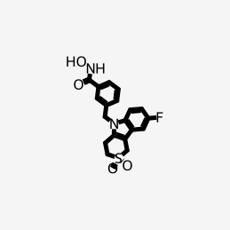 O=C(NO)c1cccc(Cn2c3c(c4cc(F)ccc42)CS(=O)(=O)CC3)c1